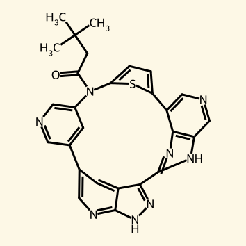 CC(C)(C)CC(=O)n1c2cncc(c2)c2cnc3[nH]nc(c4nc5c(cncc5c5ccc1s5)[nH]4)c3c2